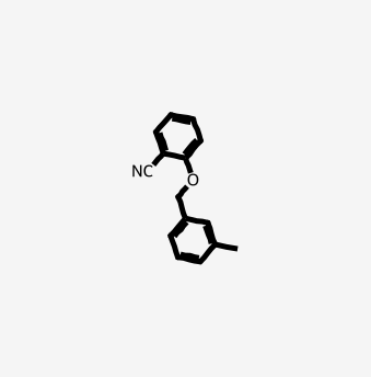 Cc1cccc(COc2ccccc2C#N)c1